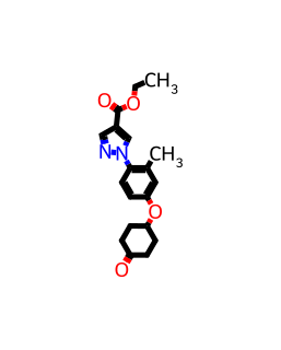 CCOC(=O)c1cnn(-c2ccc(OC3CCC(=O)CC3)cc2C)c1